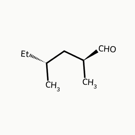 CC[C@@H](C)C[C@H](C)C=O